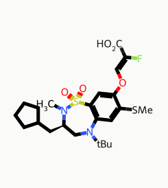 CSc1cc2c(cc1O/C=C(\F)C(=O)O)S(=O)(=O)N(C)[C@H](CC1CCCC1)CN2C(C)(C)C